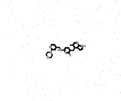 Cc1cnc2[nH]ccc2c1Cc1ccc(NCc2ccnc(N3CCOCC3)c2)nc1F